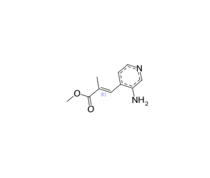 COC(=O)/C(C)=C/c1ccncc1N